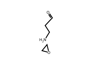 C1CO1.NCCC=O